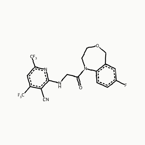 N#Cc1c(C(F)(F)F)cc(C(F)(F)F)nc1NCC(=O)N1CCOCc2cc(F)ccc21